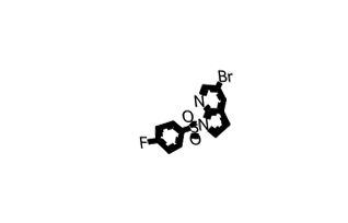 O=S(=O)(c1ccc(F)cc1)n1ccc2cc(Br)cnc21